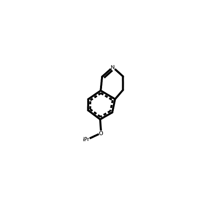 CC(C)Oc1ccc2c(c1)CCN=C2